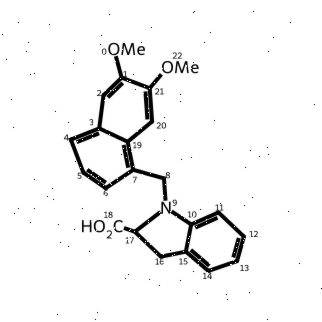 COc1cc2cccc(CN3c4ccccc4CC3C(=O)O)c2cc1OC